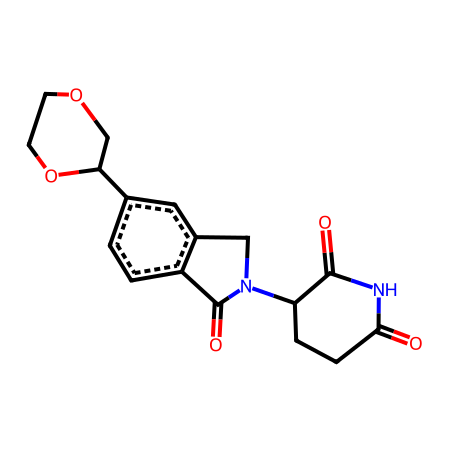 O=C1CCC(N2Cc3cc(C4COCCO4)ccc3C2=O)C(=O)N1